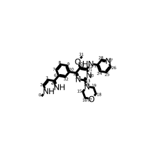 CN/C=C\C(=N)c1cccc(-c2nc(N3CCOCC3)nc(Nc3cccnc3)c2OC)c1